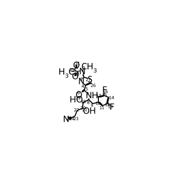 CN(c1nc(C(=O)NC(Cc2cc(F)cc(F)c2)C(O)C(O)CCC#N)cs1)S(C)(=O)=O